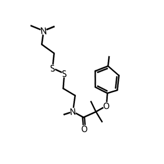 Cc1ccc(OC(C)(C)C(=O)N(C)CCSSCCN(C)C)cc1